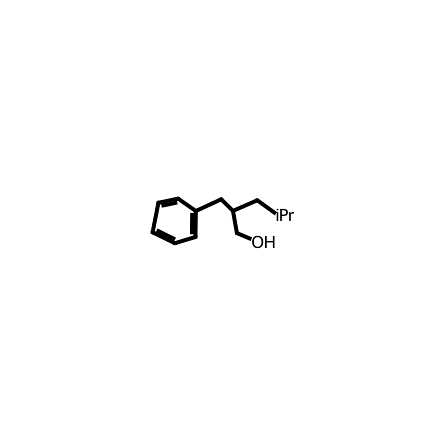 CC(C)CC(CO)Cc1ccccc1